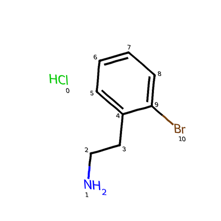 Cl.NCCc1ccccc1Br